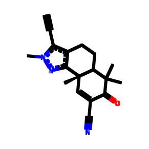 C#Cc1c2c(nn1C)[C@@]1(C)C=C(C#N)C(=O)C(C)(C)C1CC2